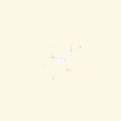 CC(O)N(C(C)O)C1CO1